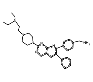 CCN(CC)CCN1CCN(c2ncc3cc(-c4ccccc4)c(-c4ccc(CN)cc4)nc3n2)CC1